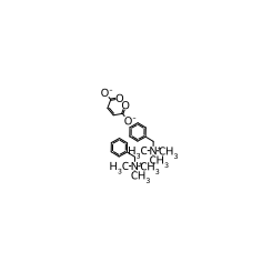 C[N+](C)(C)Cc1ccccc1.C[N+](C)(C)Cc1ccccc1.O=C([O-])/C=C\C(=O)[O-]